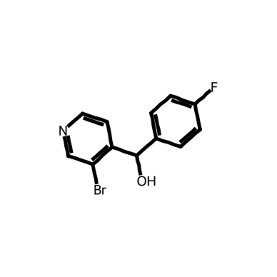 OC(c1ccc(F)cc1)c1ccncc1Br